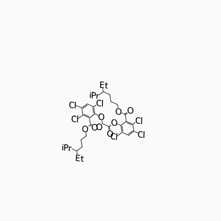 CCC(CCCOC(=O)c1c(Cl)c(Cl)cc(Cl)c1OC(=O)C(=O)Oc1c(Cl)cc(Cl)c(Cl)c1C(=O)OCCCC(CC)C(C)C)C(C)C